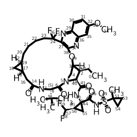 CC[C@@H]1[C@@H]2CN(C(=O)[C@H](C(C)(C)C)NC(=O)C[C@@H]3C[C@H]3CCCCC(F)(F)c3nc4ccc(OC)cc4nc3O2)[C@@H]1C(=O)N[C@]1(C(=O)NS(=O)(=O)C2(C)CC2)C[C@H]1C(F)F